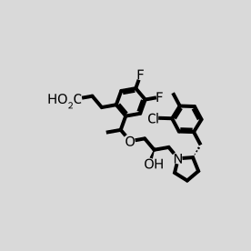 Cc1ccc(C[C@@H]2CCCN2C[C@@H](O)COC(C)c2cc(F)c(F)cc2CCC(=O)O)cc1Cl